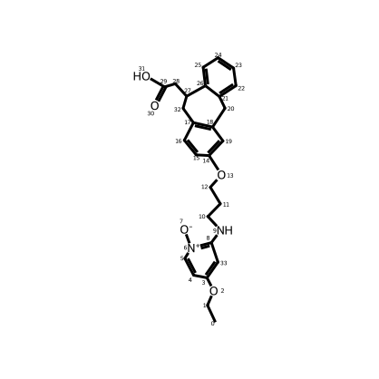 CCOc1cc[n+]([O-])c(NCCCOc2ccc3c(c2)Cc2ccccc2C(CC(=O)O)C3)c1